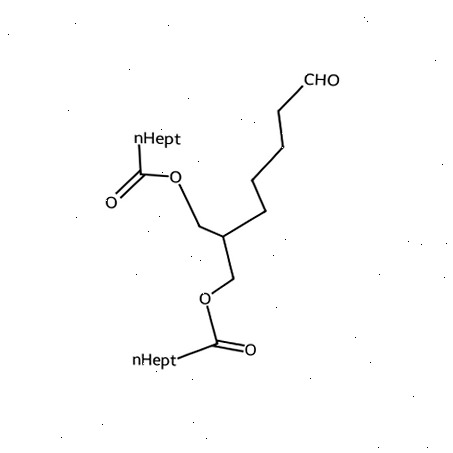 CCCCCCCC(=O)OCC(CCCCC=O)COC(=O)CCCCCCC